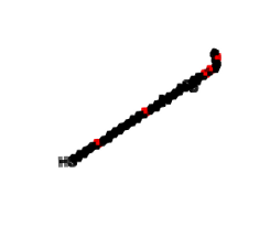 CCCC/C=C\CCCCCCCC(=O)OCCCCCCCCCCCCCCCCCCCCCCCCCCCCCCCCCCCCCCO